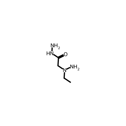 CCN(N)CC(=O)NN